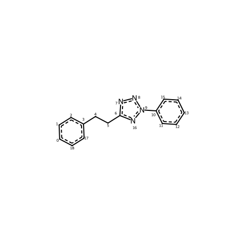 c1ccc(CCc2nnn(-c3ccccc3)n2)cc1